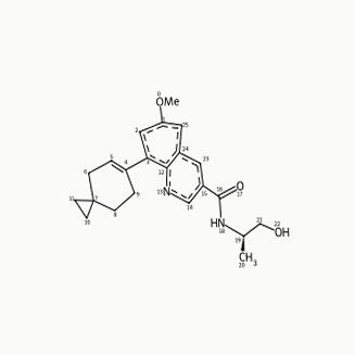 COc1cc(C2=CCC3(CC2)CC3)c2ncc(C(=O)N[C@H](C)CO)cc2c1